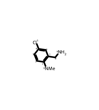 CNc1ccc(Cl)cc1CN